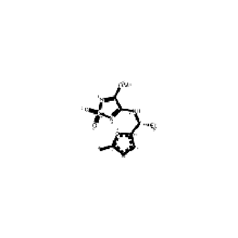 CC[C@@H](NC1=NS(=O)(=O)N=C1OC)c1ccc(C)o1